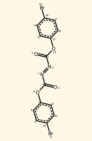 O=C(/N=N/C(=O)Oc1ccc(Br)cc1)Oc1ccc(Br)cc1